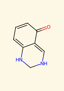 O=C1C=CC=C2NCNC=C12